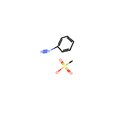 CS(=O)(=O)[O-].N#[N+]c1ccccc1